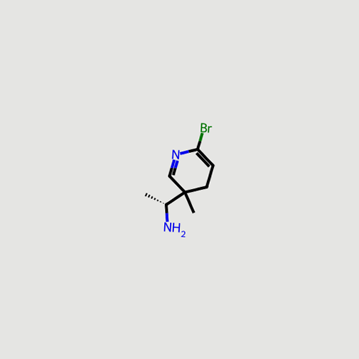 C[C@@H](N)C1(C)C=NC(Br)=CC1